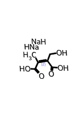 C/C(C(=O)O)=C(\CO)C(=O)O.[NaH].[NaH]